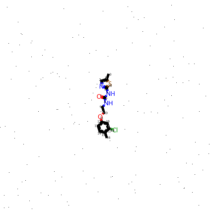 Cc1cnc(NC(=O)NCCOc2ccc(C)c(Cl)c2)s1